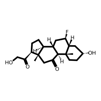 C[C@]12CC[C@@H](O)C[C@H]1[C@H](F)C[C@H]1[C@@H]3CC[C@H](C(=O)CO)[C@@]3(C)CC(=O)[C@@H]12